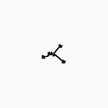 [Br][Mg]([Br])[Br]